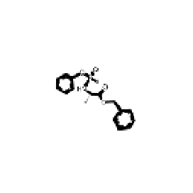 C[C@H](NP(=O)(I)Oc1ccccc1)C(=O)OCc1ccccc1